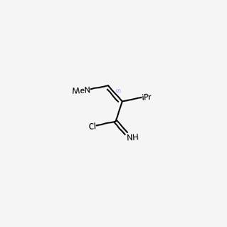 CN/C=C(\C(=N)Cl)C(C)C